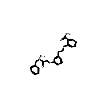 CCCCCCN(Cc1ccccc1)C(=O)COc1cccc(CCSc2ccccc2C(=O)OC)c1